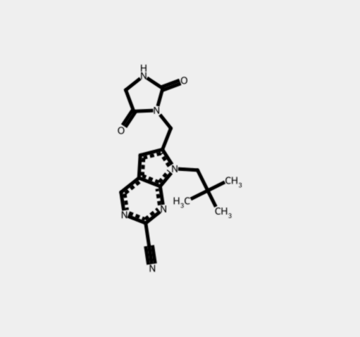 CC(C)(C)Cn1c(CN2C(=O)CNC2=O)cc2cnc(C#N)nc21